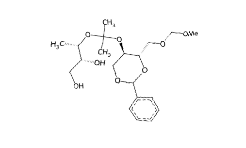 COCOC[C@@H]1OC(c2ccccc2)OC[C@H]1OC(C)(C)O[C@@H](C)[C@H](O)CO